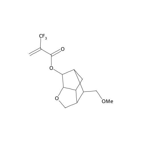 C=C(C(=O)OC1C2CC3C(COC31)C2COC)C(F)(F)F